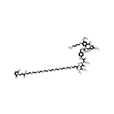 CCCCCOc1cc2c(cc1OC)C(=O)N1C=C(C)C[C@H]1[C@H](O)N2C(=O)OCc1ccc(NC(=O)[C@H](C)NC(=O)[C@@H](NC(=O)CCOCCOCCOCCOCCOCCOCCOCCOCCNC(=O)CCN2C(=O)C=CC2=O)C(C)C)cc1